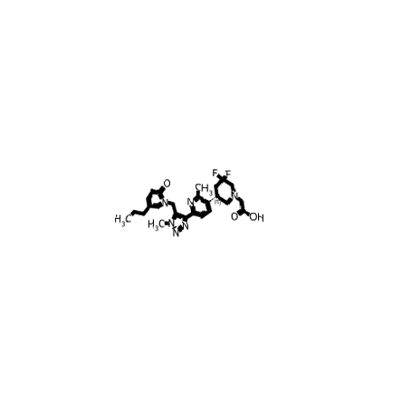 CCCc1ccc(=O)n(Cc2c(-c3ccc([C@H]4CN(CC(=O)O)CC(F)(F)C4)c(C)n3)nnn2C)c1